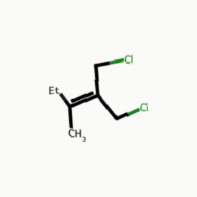 CCC(C)=C(CCl)CCl